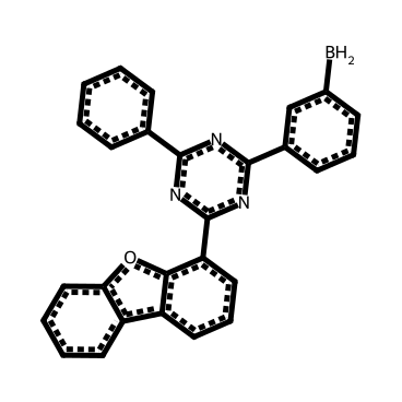 Bc1cccc(-c2nc(-c3ccccc3)nc(-c3cccc4c3oc3ccccc34)n2)c1